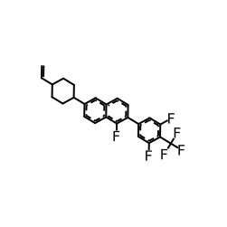 C=CC1CCC(c2ccc3c(F)c(-c4cc(F)c(C(F)(F)F)c(F)c4)ccc3c2)CC1